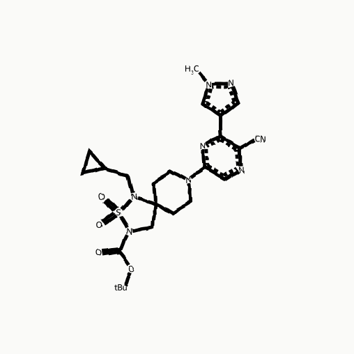 Cn1cc(-c2nc(N3CCC4(CC3)CN(C(=O)OC(C)(C)C)S(=O)(=O)N4CC3CC3)cnc2C#N)cn1